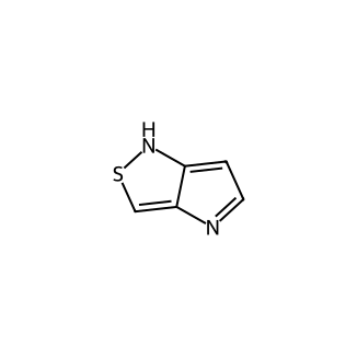 c1cc2[nH]scc-2n1